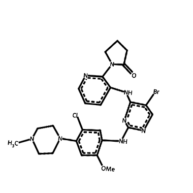 COc1cc(N2CCN(C)CC2)c(Cl)cc1Nc1ncc(Br)c(Nc2cccnc2N2CCCC2=O)n1